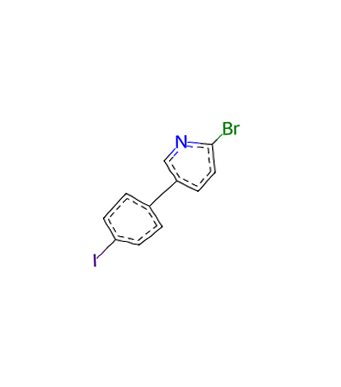 Brc1ccc(-c2ccc(I)cc2)cn1